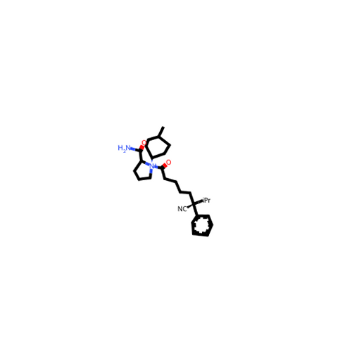 CC1CCC([N@+]2(C(=O)CCCC[C@@](C#N)(c3ccccc3)C(C)C)CCCC2C(N)=O)CC1